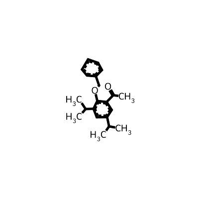 CC(=O)c1cc(C(C)C)cc(C(C)C)c1OCc1ccccc1